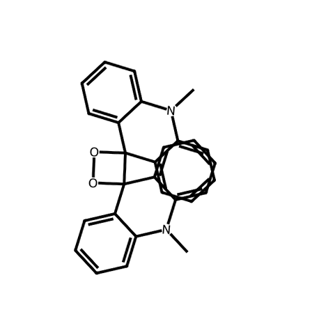 CN1c2ccccc2C2(OOC23c2ccccc2N(C)c2ccccc23)c2ccccc21